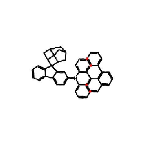 c1ccc(-c2cccc3cccc(-c4ccccc4N(c4ccccc4)c4ccc5c(c4)C4(c6ccccc6-5)C5CC6CC7CC4C75C6)c23)cc1